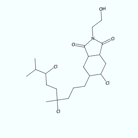 CC(C)C(Cl)CCC(C)(Cl)CCCC1CC2C(=O)N(CCO)C(=O)C2CC1Cl